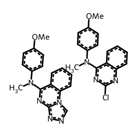 COc1ccc(N(C)c2nc(Cl)nc3ccccc23)cc1.COc1ccc(N(C)c2nc3nncn3c3ccccc23)cc1